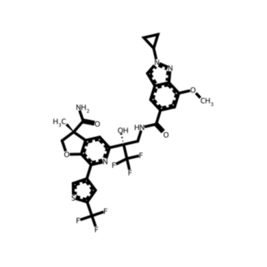 COc1cc(C(=O)NC[C@](O)(c2cc3c(c(-c4csc(C(F)(F)F)c4)n2)OC[C@]3(C)C(N)=O)C(F)(F)F)cc2cn(C3CC3)nc12